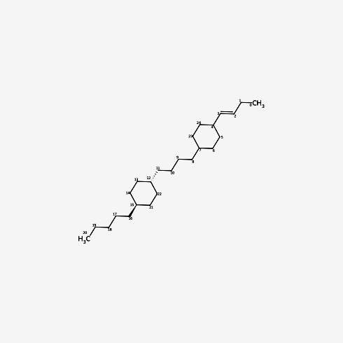 CC/C=C/C1CCC(CCCC[C@H]2CC[C@H](CCCCC)CC2)CC1